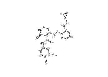 O=C1NCCC(NCc2ccncc2OCC2CC2)=C1C(=S)Nc1ccc(F)c(F)c1